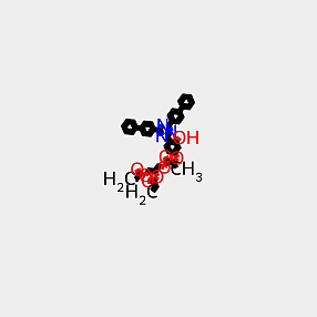 C=CC(=O)OCC(COC(=O)C(C)Oc1ccc(-c2nc(-c3ccc(-c4ccccc4)cc3)nc(-c3ccc(-c4ccccc4)cc3)n2)c(O)c1)OC(=O)C=C